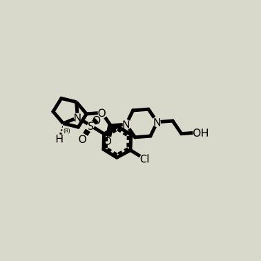 O=C(OC1C[C@H]2CCC1N2S(=O)(=O)c1ccc(Cl)cc1)N1CCN(CCO)CC1